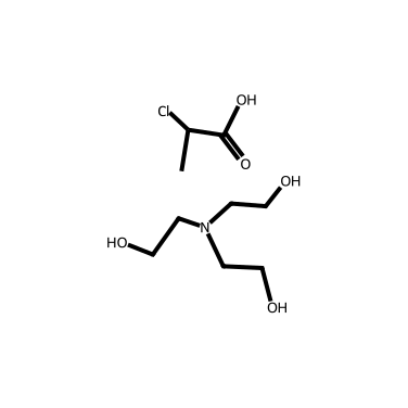 CC(Cl)C(=O)O.OCCN(CCO)CCO